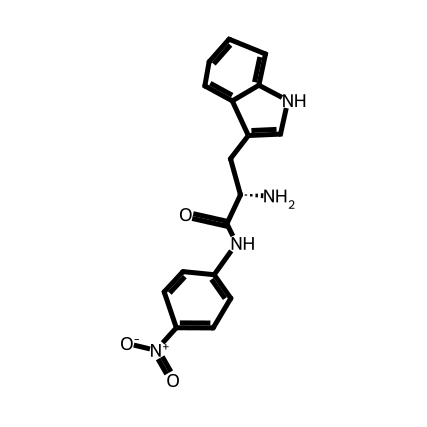 N[C@@H](Cc1c[nH]c2ccccc12)C(=O)Nc1ccc([N+](=O)[O-])cc1